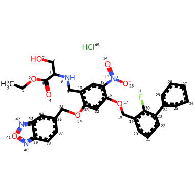 CCOC(=O)C(CO)NCc1cc([N+](=O)[O-])c(OCc2cccc(-c3ccccc3)c2F)cc1OCc1ccc2nonc2c1.Cl